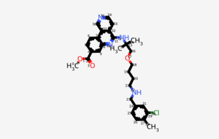 COC(=O)c1ccc2c(c1)nc(NC(C)(C)COCCCCNCc1ccc(C)c(Cl)c1)c1ccncc12